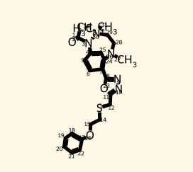 CC(=O)N1c2ccc(-c3nnc(CSCCOc4ccccc4)o3)c(c2)N(C)CC[N+]1(C)C